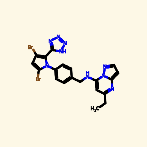 CCc1cc(NCc2ccc(-n3c(Br)cc(Br)c3-c3nnn[nH]3)cc2)n2nccc2n1